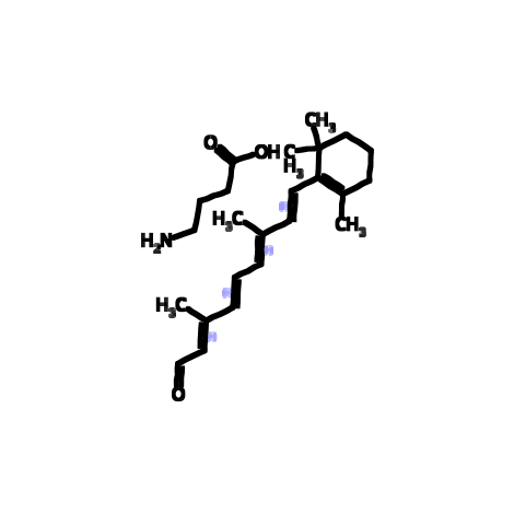 CC1=C(/C=C/C(C)=C/C=C/C(C)=C/C=O)C(C)(C)CCC1.NCCCC(=O)O